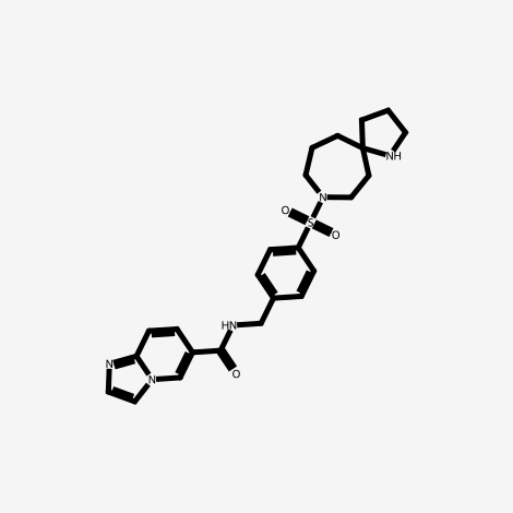 O=C(NCc1ccc(S(=O)(=O)N2CCCC3(CCCN3)CC2)cc1)c1ccc2nccn2c1